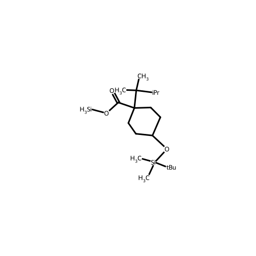 CC(C)C(C)(C)C1(C(=O)O[SiH3])CCC(O[Si](C)(C)C(C)(C)C)CC1